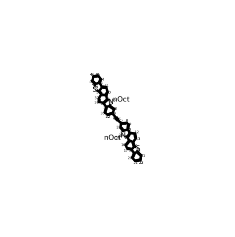 CCCCCCCCn1c2cc(C#Cc3ccc4c5ccc6c(ccc7c8ccccc8sc76)c5n(CCCCCCCC)c4c3)ccc2c2ccc3c(ccc4c5ccccc5sc43)c21